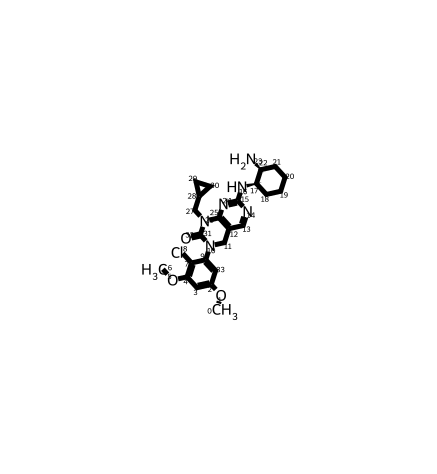 COc1cc(OC)c(Cl)c(N2Cc3cnc(N[C@@H]4CCCC[C@@H]4N)nc3N(CC3CC3)C2=O)c1